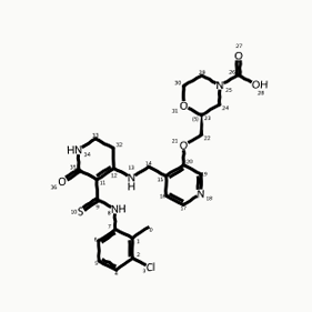 Cc1c(Cl)cccc1NC(=S)C1=C(NCc2ccncc2OC[C@@H]2CN(C(=O)O)CCO2)CCNC1=O